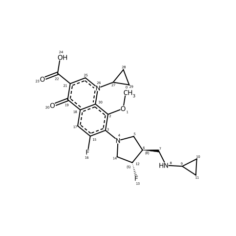 COc1c(N2C[C@@H](CNC3CC3)[C@H](F)C2)c(F)cc2c(=O)c(C(=O)O)cn(C3CC3)c12